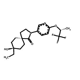 CC[C@]1(O)CC[C@@]2(CCN(c3ccc(O[C@H](C)C(F)(F)F)nc3)C2=O)CC1